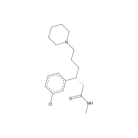 CNC(=O)C[C@@H](CCCN1CCCCC1)c1cccc(Cl)c1